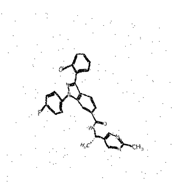 Cc1ncc([C@H](C)NC(=O)c2ccc3c(-c4ccccc4Cl)nn(-c4ccc(F)cc4)c3c2)cn1